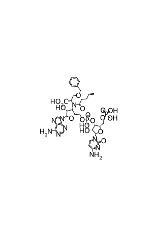 C=CCCC(=O)N(C1C(COP(=O)(O)O[C@H]2[C@@H](O)[C@H](n3ccc(N)nc3=O)O[C@@H]2COP(=O)(O)O)OC(n2cnc3c(N)ncnc32)C1O)[C@H](COCc1ccccc1)C(=O)O